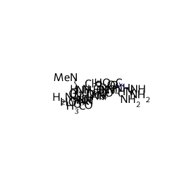 CNCCCC[C@H](N)C(=O)N[C@H](C(=O)N[C@@H](C)C(=O)NCC(=O)N[C@H](CCCN)C(=O)N1CCC[C@H]1C(=O)NC(Cc1ccc(Cl)cc1)C(=O)N[C@@H](CCCCN)C(=O)N/C(=C\CCNC(=N)N)C(=O)O)[C@@H](O)CN